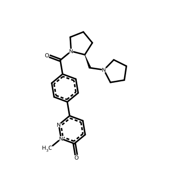 Cn1nc(-c2ccc(C(=O)N3CCC[C@H]3CN3CCCC3)cc2)ccc1=O